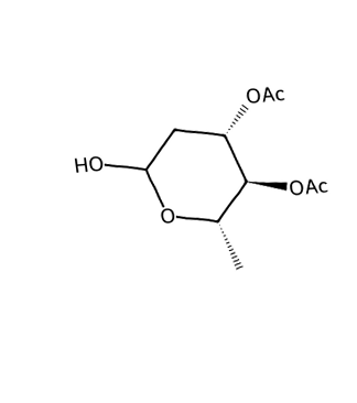 CC(=O)O[C@H]1[C@H](C)OC(O)C[C@@H]1OC(C)=O